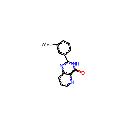 COc1cccc(-c2nc3cccnc3c(=O)[nH]2)c1